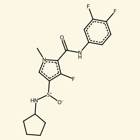 Cn1cc([S+]([O-])NC2CCCC2)c(F)c1C(=O)Nc1ccc(F)c(F)c1